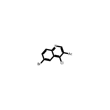 CC(=O)c1cnc2ccc(Br)cc2c1Cl